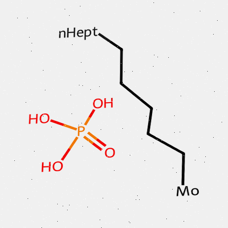 CCCCCCCCCCC[CH2][Mo].O=P(O)(O)O